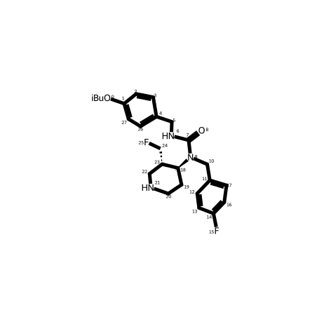 CC(C)COc1ccc(CNC(=O)N(Cc2ccc(F)cc2)[C@H]2CCNC[C@@H]2CF)cc1